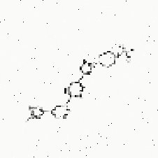 Cn1cc(-c2cccc(-c3ncc(-c4cnn(C5CCN(S(C)(=O)=O)CC5)c4)cn3)c2)cn1